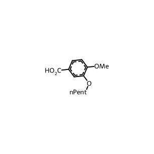 CCCCCOc1cc(C(=O)O)ccc1OC